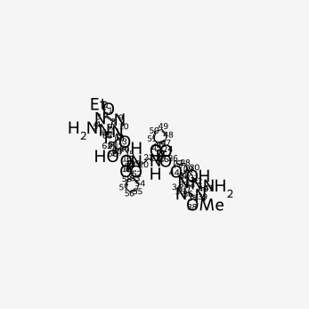 CCOc1nc(N)nc2c1ncn2[C@@H]1O[C@H](COP(=O)(NCCNP(=O)(OC[C@@H]2C[C@@](C)(O)[C@H](n3cnc4c(OC)nc(N)nc43)O2)Oc2ccccc2)Oc2ccccc2)[C@@H](O)[C@@]1(C)F